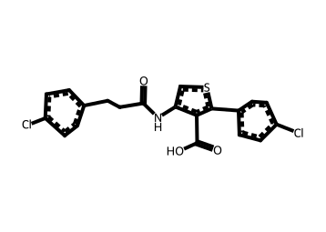 O=C(CCc1ccc(Cl)cc1)Nc1csc(-c2ccc(Cl)cc2)c1C(=O)O